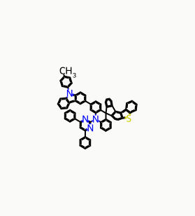 Cc1ccc(-n2c3ccccc3c3cc(-c4ccc5c(c4)N(c4nc(-c6ccccc6)cc(-c6ccccc6)n4)c4ccccc4C54c5ccccc5-c5c4ccc4sc6ccccc6c54)ccc32)cc1